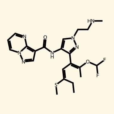 CC/C(=C\C(=C(/C)OC(F)F)c1nn(CCNC)cc1NC(=O)c1cnn2cccnc12)SC